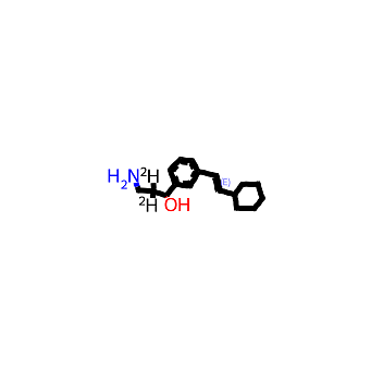 [2H]C([2H])(CN)C(O)c1cccc(/C=C/C2CCCCC2)c1